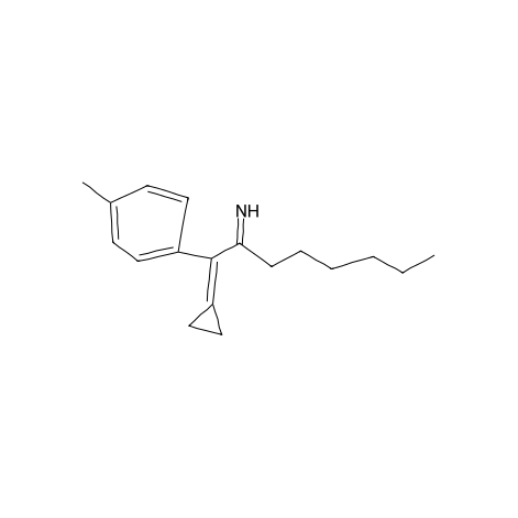 CCCCCCC(=N)C(=C1CC1)c1ccc(C)cc1